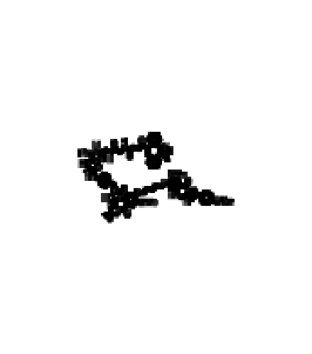 COc1ccc(C2=CN3C(=O)c4cc(OC)c(OCCCCCOc5cc6c(cc5OC)C(=O)N5CC7(CC7)C[C@H]5[C@H](O)N6C(=O)OCc5ccc(NC(=O)[C@H](C)NC(=O)[C@@H](NC(=O)CNC(=O)CNC(=O)CCC(=O)N6Cc7ccccc7-c7c(nnn7C)-c7ccccc76)C(C)C)cc5)cc4NC[C@@H]3C2)cc1